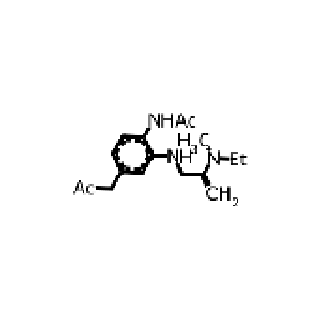 C=C(CNc1cc(CC(C)=O)ccc1NC(C)=O)N(C)CC